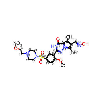 CCCc1c(/C=N/O)c(C)c2c(=O)[nH]c(-c3cc(S(=O)(=O)N4CCN(CCO[N+](=O)[O-])CC4)ccc3OCC)nn12